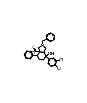 O=C(O)C12CN(Cc3ccccc3)CC1C(O)(c1ccc(Cl)c(Cl)c1)CCC2c1ccccc1